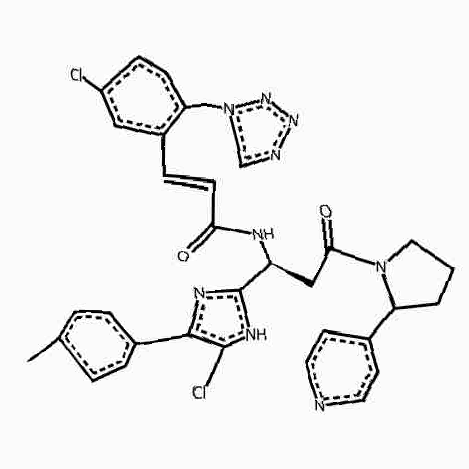 Cc1ccc(-c2nc([C@H](CC(=O)N3CCCC3c3ccncc3)NC(=O)/C=C/c3cc(Cl)ccc3-n3cnnn3)[nH]c2Cl)cc1